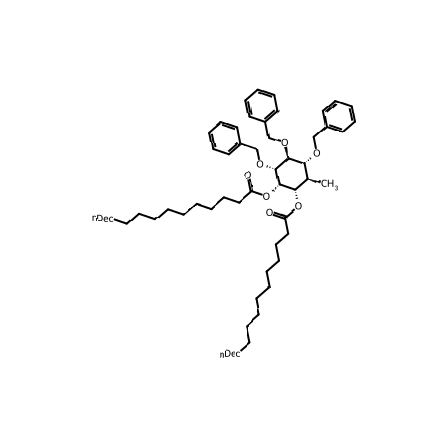 CCCCCCCCCCCCCCCCCCCC(=O)O[C@@H]1[C@H](OCc2ccccc2)[C@@H](OCc2ccccc2)[C@H](OCc2ccccc2)[C@@H](C)[C@@H]1OC(=O)CCCCCCCCCCCCCCCCCCC